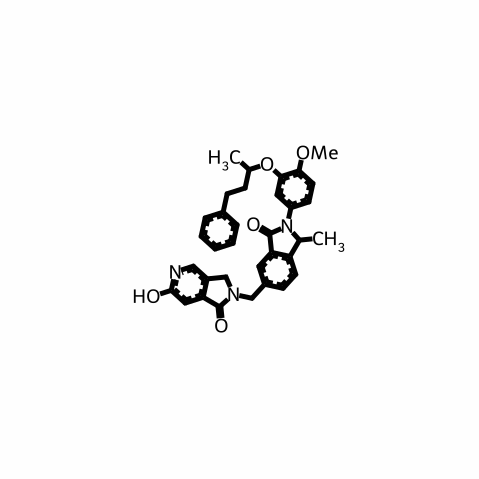 COc1ccc(N2C(=O)c3cc(CN4Cc5cnc(O)cc5C4=O)ccc3C2C)cc1OC(C)CCc1ccccc1